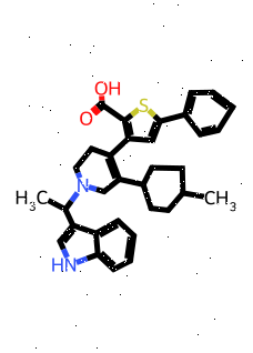 CC1CCC(C2=C(c3cc(-c4ccccc4)sc3C(=O)O)CCN(C(C)c3c[nH]c4ccccc34)C2)CC1